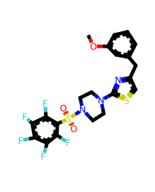 COc1cccc(Cc2csc(N3CCN(S(=O)(=O)c4c(F)c(F)c(F)c(F)c4F)CC3)n2)c1